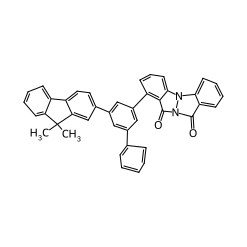 CC1(C)c2ccccc2-c2ccc(-c3cc(-c4ccccc4)cc(-c4cccc5c4c(=O)n4c(=O)c6ccccc6n54)c3)cc21